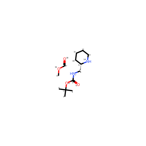 CC(C)(C)OC(=O)NC[C@@H]1CCCCN1.COC=O